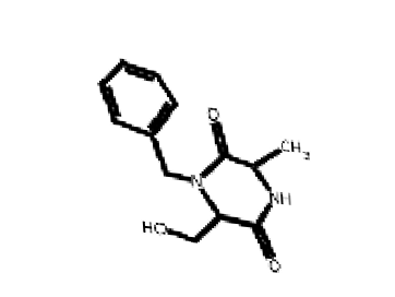 CC1NC(=O)C(CO)N(Cc2ccccc2)C1=O